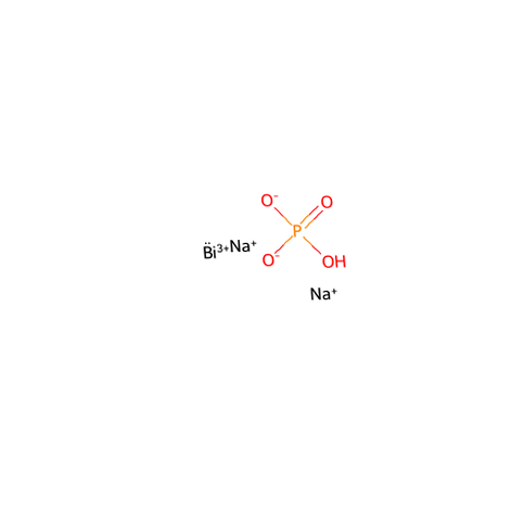 O=P([O-])([O-])O.[Bi+3].[Na+].[Na+]